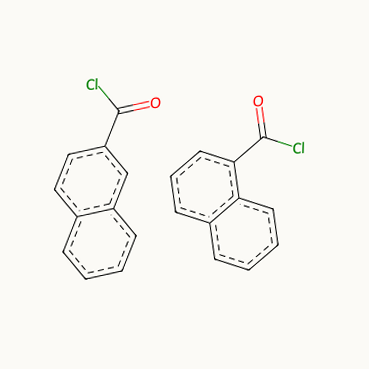 O=C(Cl)c1ccc2ccccc2c1.O=C(Cl)c1cccc2ccccc12